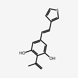 C=C(C)c1c(O)cc(/C=C/c2ccsc2)cc1O